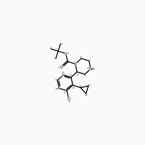 CC(C)(C)OC(=O)N1CCNCC1c1ncnc(Cl)c1C1CC1